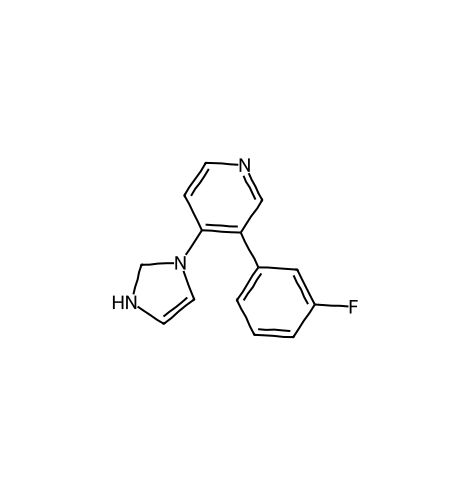 Fc1cccc(-c2cnccc2N2C=CNC2)c1